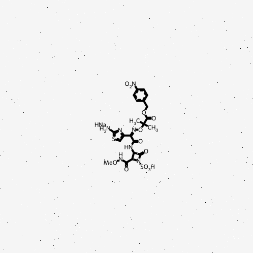 CONC(=O)C1C(NC(=O)/C(=N\OC(C)(C)C(=O)OCc2ccc([N+](=O)[O-])cc2)c2csc(N)n2)C(=O)N1S(=O)(=O)O.[NaH]